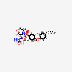 COc1ccc(Oc2ccc(S(=O)(=O)N3CCOC[C@@H]3C(=O)NO)cc2)cc1